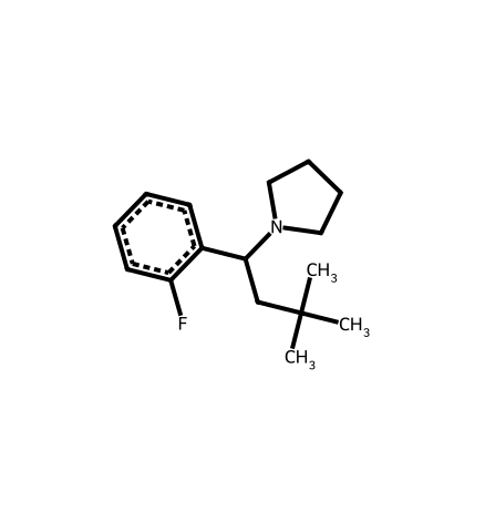 CC(C)(C)CC(c1ccccc1F)N1CCCC1